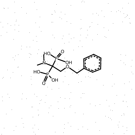 CN(C)C(COCc1ccccc1)(P(=O)(O)O)P(=O)(O)O